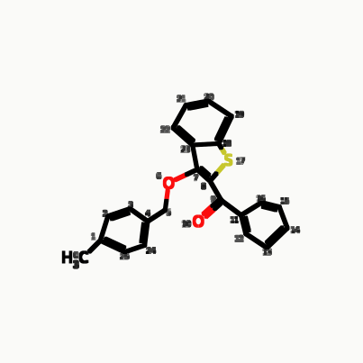 Cc1ccc(COc2c(C(=O)c3ccccc3)sc3ccccc23)cc1